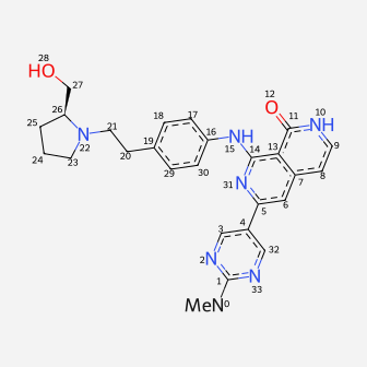 CNc1ncc(-c2cc3cc[nH]c(=O)c3c(Nc3ccc(CCN4CCC[C@H]4CO)cc3)n2)cn1